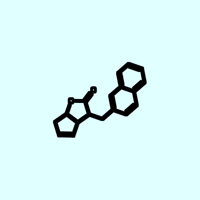 O=C1OC2CC=CC2C1Cc1ccc2ccccc2c1